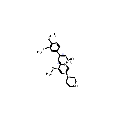 COc1ccc(C(=C/C=O)/N=c2/c(OC)cc(N3CCNCC3)cn2C)cc1OC